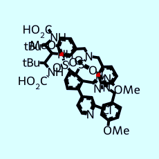 COc1ccc(CN(Cc2ccc(OC)cc2)S(=O)(=O)c2c(S(=O)(=O)NC(C(NC(=O)O)C(C)(C)C)C(NC(=O)O)C(C)(C)C)ccc(-c3ccnc(Cl)c3)c2-c2nnn(Cc3ccc(OC)cc3)n2)cc1